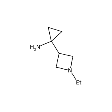 CCN1CC(C2(N)CC2)C1